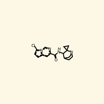 O=C(NC1C2CCN(CC2)C12CC2)c1cc2ccc(Cl)n2cn1